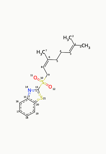 CC(C)=CCCC(C)=CCS(=O)(=O)c1nc2ccccc2s1